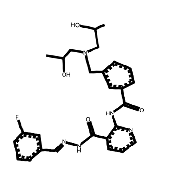 CC(O)CN(Cc1cccc(C(=O)Nc2ncccc2C(=O)NN=Cc2cccc(F)c2)c1)CC(C)O